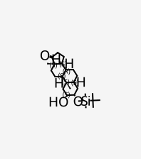 CC(C)(C)[Si](C)(C)OC1C[C@@H]2CC[C@@H]3[C@H](CC[C@]4(C)C(=O)CC[C@@H]34)[C@@]2(C)C[C@@H]1O